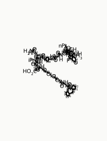 CCCC1O[C@@H]2C[C@H]3[C@@H]4C[C@H](F)C5=CC(=O)C=C[C@]5(C)[C@@]4(F)[C@@H](O)C[C@]3(C)[C@]2(C(=O)COCNC(=O)CNC(=O)OCc2ccc(NC(=O)[C@H](CCCNC(N)=O)NC(=O)[C@@H](NC(=O)[C@@H](CCC(=O)O)NC(=O)CCOCCOCCOCCOCCNC(=O)CCC(=O)N3Cc4ccccc4C#Cc4ccccc43)C(C)C)cc2)O1